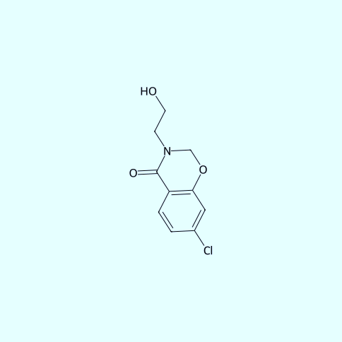 O=C1c2ccc(Cl)cc2OCN1CCO